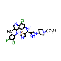 N#Cc1cnc2c(Cl)cc(NC(c3cn(C4CCN(C(=O)O)CC4)nn3)c3cncs3)cc2c1Nc1ccc(F)c(Cl)c1